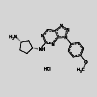 COc1ccc(-n2nnc3cnc(N[C@@H]4CC[C@H](N)C4)nc32)cc1.Cl